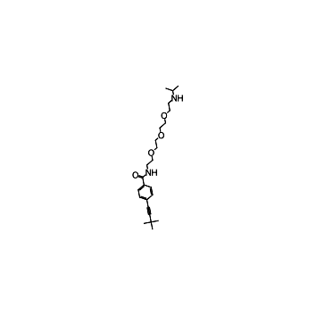 CC(C)NCCOCCOCCOCCNC(=O)c1ccc(C#CC(C)(C)C)cc1